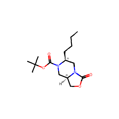 CCCC[C@H]1CN2C(=O)OC[C@H]2CN1C(=O)OC(C)(C)C